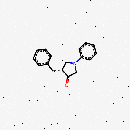 O=C1CN(c2ccccc2)C[C@H]1Cc1ccccc1